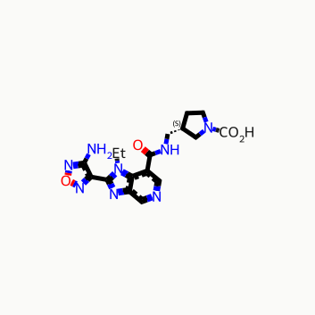 CCn1c(-c2nonc2N)nc2cncc(C(=O)NC[C@@H]3CCN(C(=O)O)C3)c21